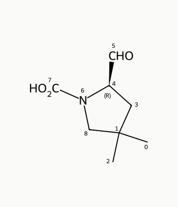 CC1(C)C[C@H](C=O)N(C(=O)O)C1